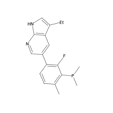 CCc1c[nH]c2ncc(-c3ccc(C)c(P(C)C)c3F)cc12